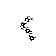 C[C@H]1CN(Cc2ccn3ncnc(Nc4ccc5c(cnn5Cc5cccc(F)c5)c4)c23)CC[C@H]1N